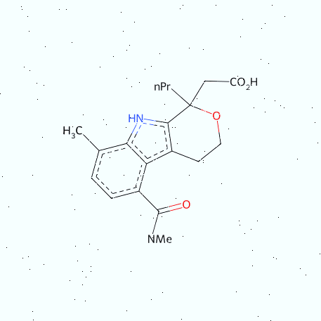 CCCC1(CC(=O)O)OCCc2c1[nH]c1c(C)ccc(C(=O)NC)c21